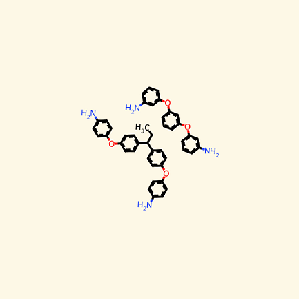 CCC(c1ccc(Oc2ccc(N)cc2)cc1)c1ccc(Oc2ccc(N)cc2)cc1.Nc1cccc(Oc2cccc(Oc3cccc(N)c3)c2)c1